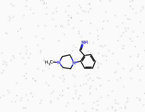 CN1CCN(c2ccc[c]c2C=N)CC1